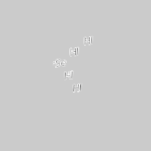 I.I.I.I.[Se]